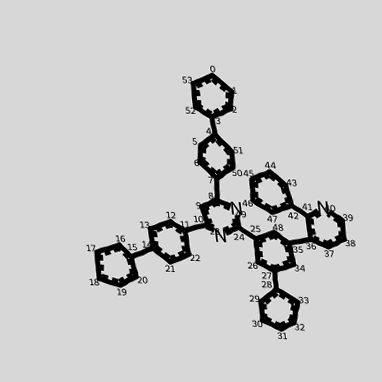 c1ccc(-c2ccc(-c3cc(-c4ccc(-c5ccccc5)cc4)nc(-c4cc(-c5ccccc5)cc(-c5cccnc5-c5ccccc5)c4)n3)cc2)cc1